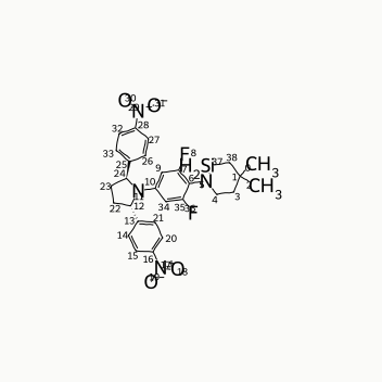 CC1(C)CCN(c2c(F)cc(N3[C@H](c4ccc([N+](=O)[O-])cc4)CC[C@H]3c3ccc([N+](=O)[O-])cc3)cc2F)[SiH2]C1